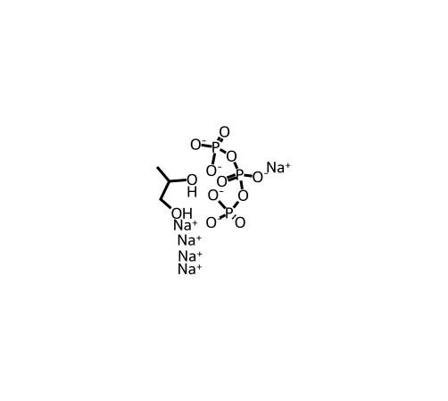 CC(O)CO.O=P([O-])([O-])OP(=O)([O-])OP(=O)([O-])[O-].[Na+].[Na+].[Na+].[Na+].[Na+]